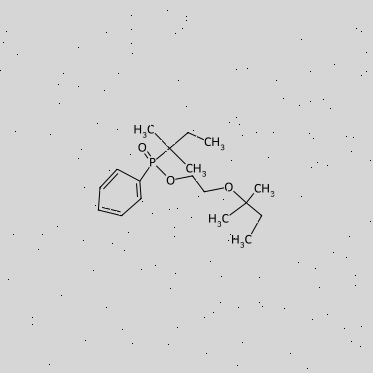 CCC(C)(C)OCCOP(=O)(c1ccccc1)C(C)(C)CC